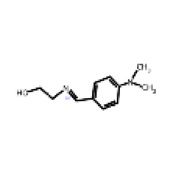 CN(C)c1ccc(/C=N/CCO)cc1